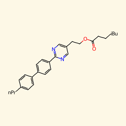 CCCc1ccc(-c2ccc(-c3ncc(CCOC(=O)CCC(C)CC)cn3)cc2)cc1